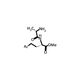 COC(=O)[C@H](CCC(C)=O)NC(=O)[C@H](C)N